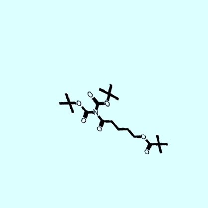 CC(C)(C)OC(=O)N(C(=O)CCCCOC(=O)C(C)(C)C)C(=O)OC(C)(C)C